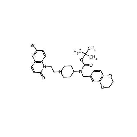 CC(C)(C)OC(=O)N(Cc1ccc2c(c1)OCCO2)C1CCN(CCn2c(=O)ccc3cc(Br)ccc32)CC1